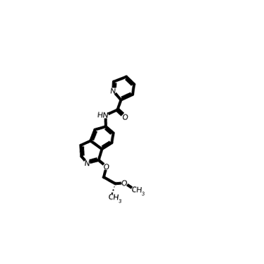 CO[C@H](C)COc1nccc2cc(NC(=O)c3ccccn3)ccc12